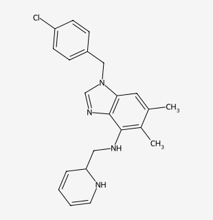 Cc1cc2c(ncn2Cc2ccc(Cl)cc2)c(NCC2C=CC=CN2)c1C